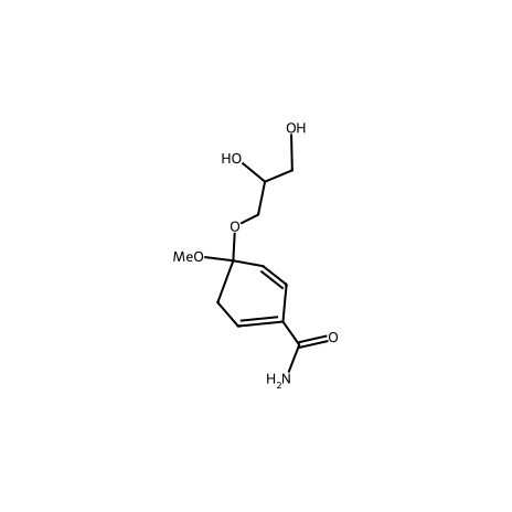 COC1(OCC(O)CO)C=CC(C(N)=O)=CC1